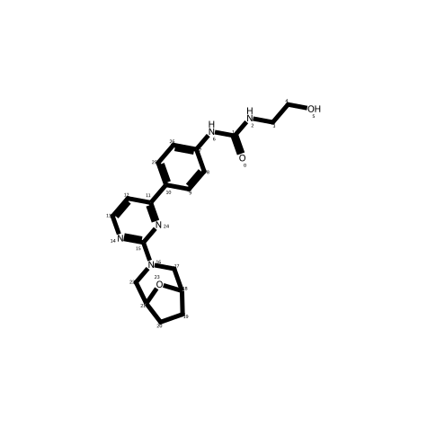 O=C(NCCO)Nc1ccc(-c2ccnc(N3CC4CCC(C3)O4)n2)cc1